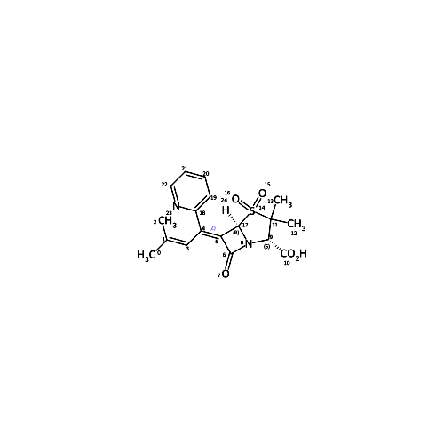 CC(C)=C/C(=C1\C(=O)N2[C@@H](C(=O)O)C(C)(C)S(=O)(=O)[C@H]12)c1ccccn1